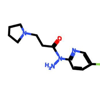 NN(C(=O)CCN1CCCC1)c1ccc(F)cn1